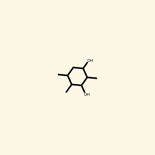 CC1CC(O)C(C)C(O)C1C